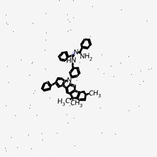 CC1C=CC2=C(C1)c1cc3c(cc1C2(C)C)c1cc(-c2ccccc2)ccc1n3-c1cccc(CN/C(=N\C(N)c2ccccc2)c2ccccc2)c1